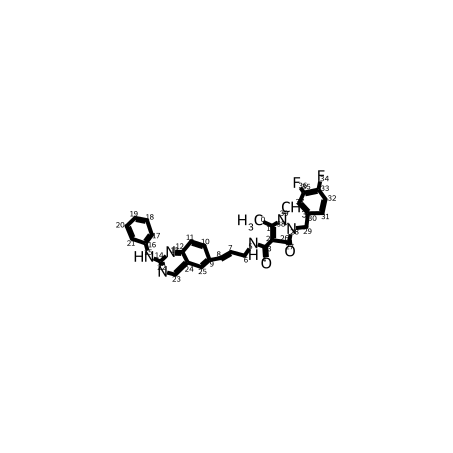 Cc1c(C(=O)NC/C=C/c2ccc3nc(Nc4ccccc4)ncc3c2)c(=O)n(Cc2ccc(F)c(F)c2)n1C